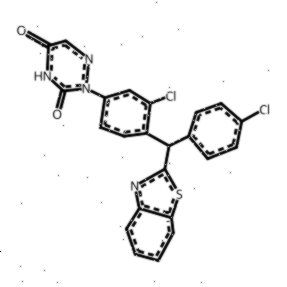 O=c1cnn(-c2ccc(C(c3ccc(Cl)cc3)c3nc4ccccc4s3)c(Cl)c2)c(=O)[nH]1